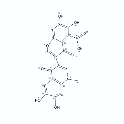 Cn1cc(-c2coc3cc(O)c(O)c(C(=O)O)c3c2=O)c(=O)c2cc(O)c(O)cc21